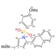 CNCc1cc(-c2ccc3ccccc3c2)n(S(=O)(=O)c2ccc(OC)cc2)c1